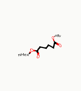 CCCCCCOC(=O)CCCCC(=O)OCCCC